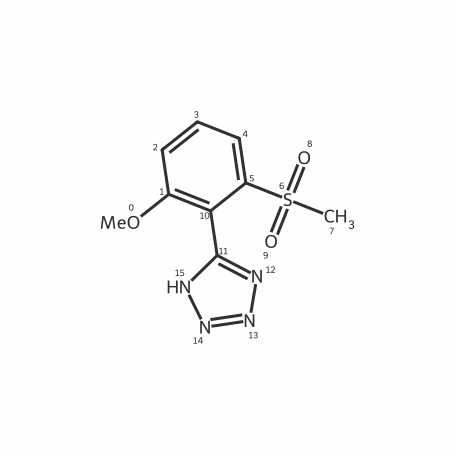 COc1cccc(S(C)(=O)=O)c1-c1nnn[nH]1